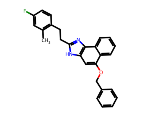 Cc1cc(F)ccc1CCc1nc2c(cc(OCc3ccccc3)c3ccccc32)[nH]1